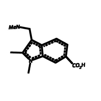 CNCc1c(C)n(C)c2cc(C(=O)O)ccc12